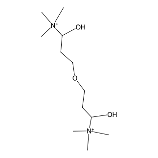 C[N+](C)(C)C(O)CCOCCC(O)[N+](C)(C)C